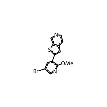 COc1ncc(Br)cc1-c1cc2ccncc2s1